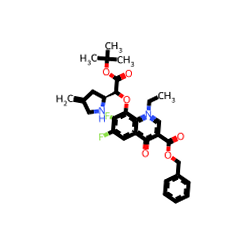 C=C1CN[C@H](C(Oc2c(F)c(F)cc3c(=O)c(C(=O)OCc4ccccc4)cn(CC)c23)C(=O)OC(C)(C)C)C1